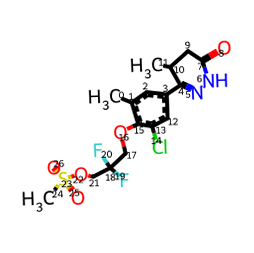 Cc1cc(C2=NNC(=O)CC2C)cc(Cl)c1OCC(F)(F)COS(C)(=O)=O